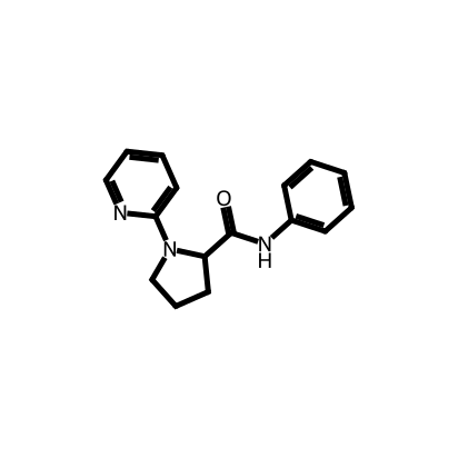 O=C(Nc1ccccc1)C1CCCN1c1ccccn1